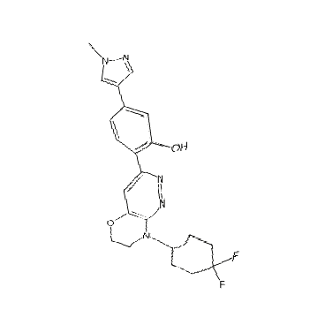 Cn1cc(-c2ccc(-c3cc4c(nn3)N(C3CCC(F)(F)CC3)CCO4)c(O)c2)cn1